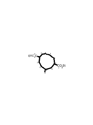 CCOC(=O)C1CCCCC(C(=O)OCC)CC(C)CC1